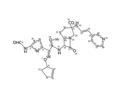 O=CNc1nc(C(=NOC2C=CCC2)C(=O)NC2C(=O)N3CC(SC=Cc4cccnc4)(C(=O)O)CS[C@H]23)cs1